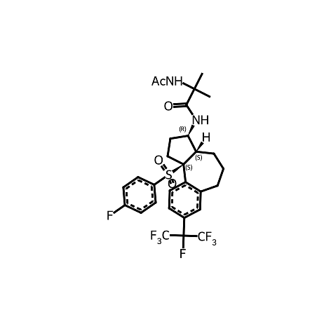 CC(=O)NC(C)(C)C(=O)N[C@@H]1CC[C@@]2(S(=O)(=O)c3ccc(F)cc3)c3ccc(C(F)(C(F)(F)F)C(F)(F)F)cc3CCC[C@@H]12